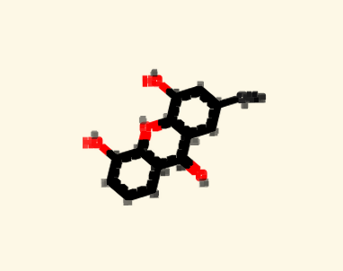 COc1cc(O)c2oc3c(O)cccc3c(=O)c2c1